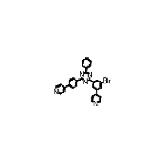 Brc1cc(-c2ccncc2)cc(-c2nc(-c3ccccc3)nc(-c3ccc(-c4ccncc4)cc3)n2)c1